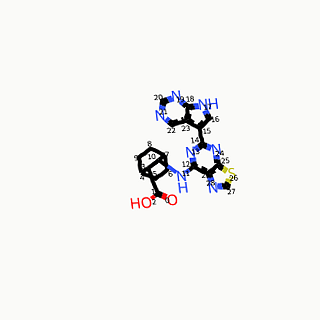 O=C(O)C1C2CCC(CC2)C1Nc1nc(-c2c[nH]c3ncncc23)nc2scnc12